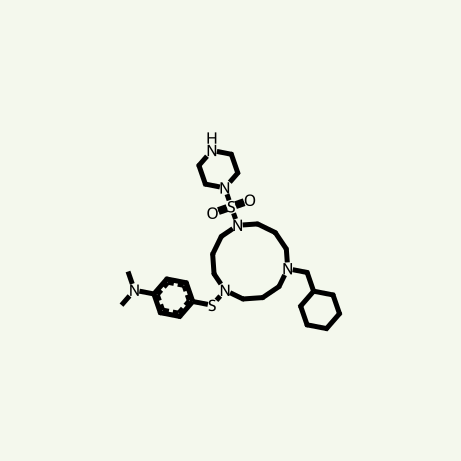 CN(C)c1ccc(SN2CCCN(CC3CCCCC3)CCCN(S(=O)(=O)N3CCNCC3)CCC2)cc1